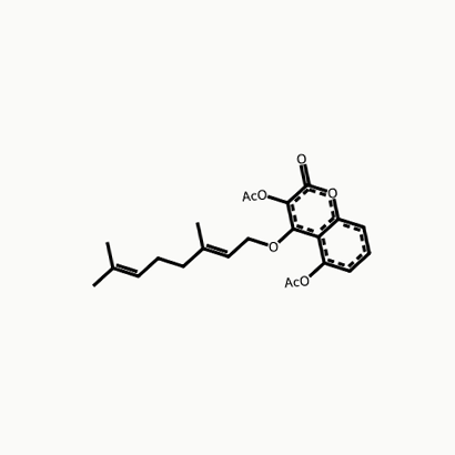 CC(=O)Oc1c(OC/C=C(\C)CCC=C(C)C)c2c(OC(C)=O)cccc2oc1=O